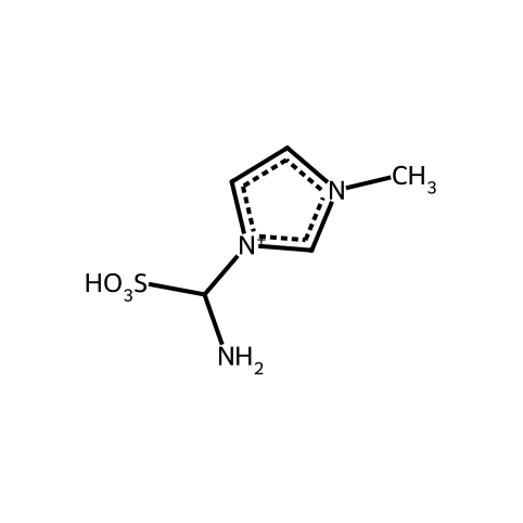 Cn1cc[n+](C(N)S(=O)(=O)O)c1